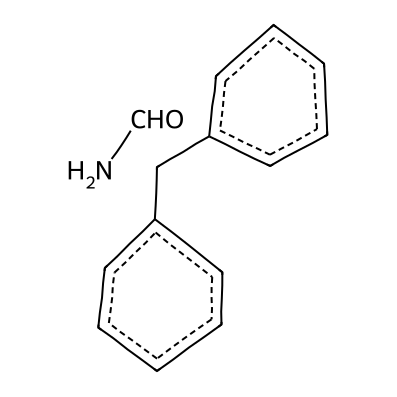 NC=O.c1ccc(Cc2ccccc2)cc1